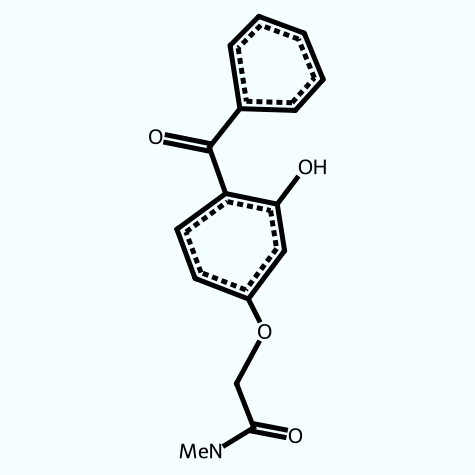 CNC(=O)COc1ccc(C(=O)c2ccccc2)c(O)c1